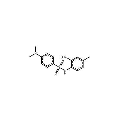 CN(C)c1ccc(S(=O)(=O)Nc2ccc(I)cc2[N+](=O)[O-])cc1